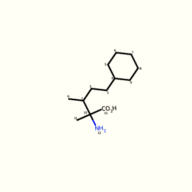 CC(CCC1CCCCC1)C(C)(N)C(=O)O